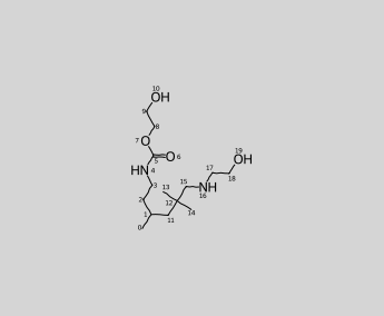 CC(CCNC(=O)OCCO)CC(C)(C)CNCCO